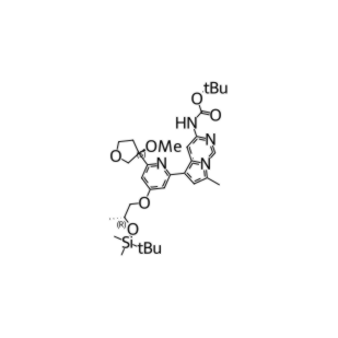 CO[C@]1(c2cc(OC[C@@H](C)O[Si](C)(C)C(C)(C)C)cc(-c3cc(C)n4cnc(NC(=O)OC(C)(C)C)cc34)n2)CCOC1